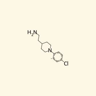 NCCC1CCN(c2[c]cc(Cl)cc2)CC1